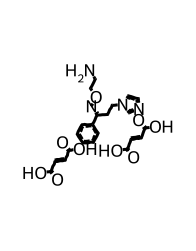 NCCON=C(CCn1ccnc1)c1ccccc1.O=C(O)/C=C/C(=O)O.O=C(O)/C=C/C(=O)O